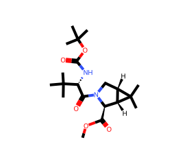 COC(=O)[C@@H]1[C@@H]2[C@H](CN1C(=O)[C@@H](NC(=O)OC(C)(C)C)C(C)(C)C)C2(C)C